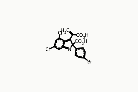 C=C(C(=O)O)C1=c2c(Cl)cc(Cl)cc2=NC1(C(=O)O)c1ccc(Br)cc1